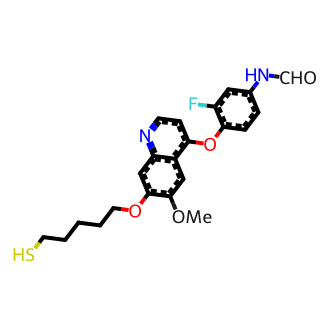 COc1cc2c(Oc3ccc(NC=O)cc3F)ccnc2cc1OCCCCCS